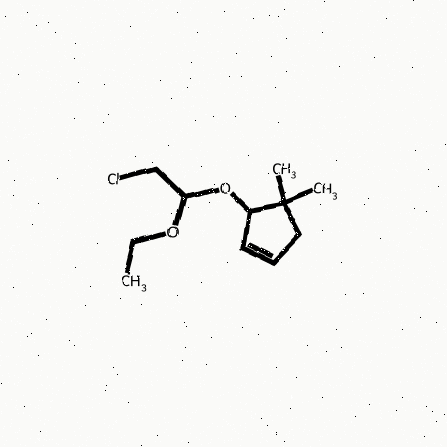 CCOC(CCl)OC1C=CCC1(C)C